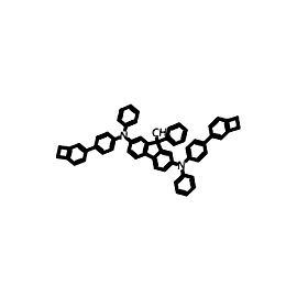 CC1(c2ccccc2)c2cc(N(c3ccccc3)c3ccc(-c4ccc5c(c4)CC5)cc3)ccc2-c2ccc(N(c3ccccc3)c3ccc(-c4ccc5c(c4)CC5)cc3)cc21